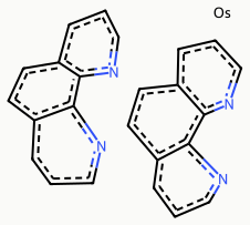 [Os].c1cnc2c(c1)ccc1cccnc12.c1cnc2c(c1)ccc1cccnc12